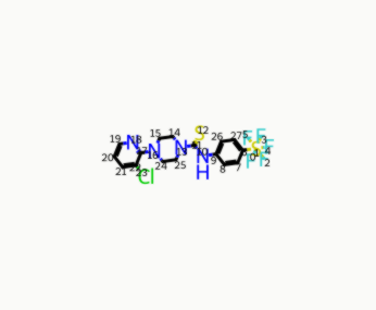 FS(F)(F)(F)(F)c1ccc(NC(=S)N2CCN(c3ncccc3Cl)CC2)cc1